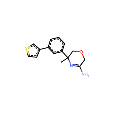 CC1(c2cccc(-c3ccsc3)c2)COCC(N)=N1